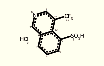 Cl.O=S(=O)(O)c1cccc2cncc(C(F)(F)F)c12